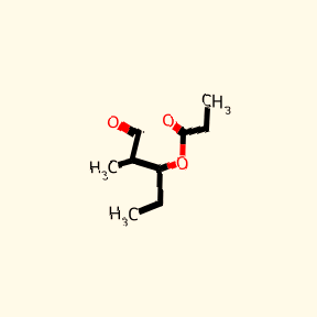 CCC(=O)OC(CC)C(C)[C]=O